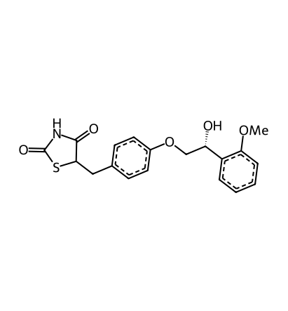 COc1ccccc1[C@@H](O)COc1ccc(CC2SC(=O)NC2=O)cc1